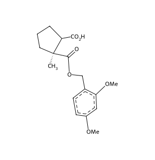 COc1ccc(COC(=O)[C@@]2(C)CCCC2C(=O)O)c(OC)c1